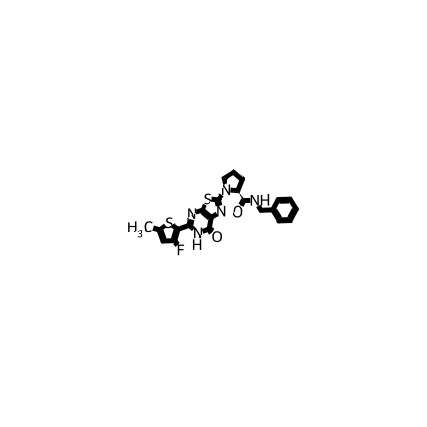 Cc1cc(F)c(-c2nc3sc(N4CCC[C@@H]4C(=O)NCc4ccccc4)nc3c(=O)[nH]2)s1